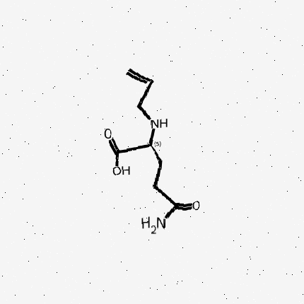 C=CCN[C@@H](CCC(N)=O)C(=O)O